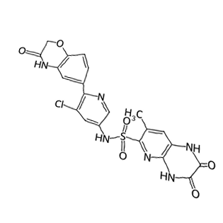 Cc1cc2[nH]c(=O)c(=O)[nH]c2nc1S(=O)(=O)Nc1cnc(-c2ccc3c(c2)NC(=O)CO3)c(Cl)c1